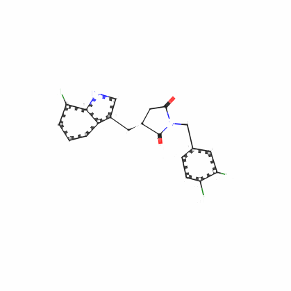 O=C1C[C@H](Cc2c[nH]c3c(Cl)cccc23)C(=O)N1Cc1ccc(F)c(F)c1